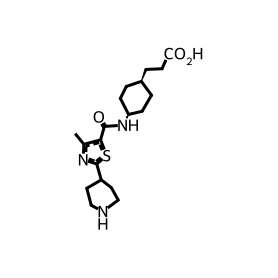 Cc1nc(C2CCNCC2)sc1C(=O)N[C@H]1CC[C@H](CCC(=O)O)CC1